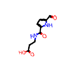 O=Cc1ccc(C(=O)NCCC(=O)O)[nH]1